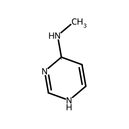 CN[C]1C=CNC=N1